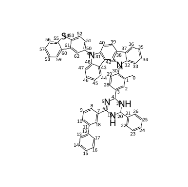 Cc1cc(C2N=C(c3cccc(-c4ccccc4)c3)NC(c3ccccc3)N2)ccc1-n1c2ccccc2c2ccc3c(c4ccccc4n3-c3ccc4sc5ccccc5c4c3)c21